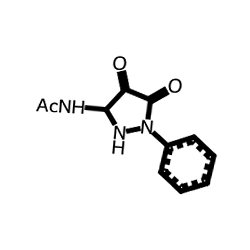 CC(=O)NC1NN(c2ccccc2)C(=O)C1=O